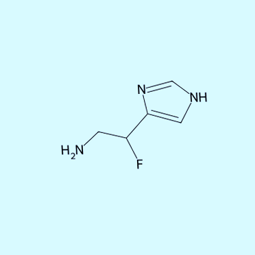 NCC(F)c1c[nH]cn1